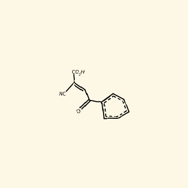 N#C/C(=C\C(=O)c1ccccc1)C(=O)O